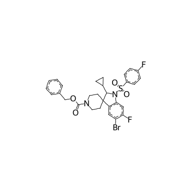 O=C(OCc1ccccc1)N1CCC2(CC1)c1cc(Br)c(F)cc1N(S(=O)(=O)c1ccc(F)cc1)C2C1CC1